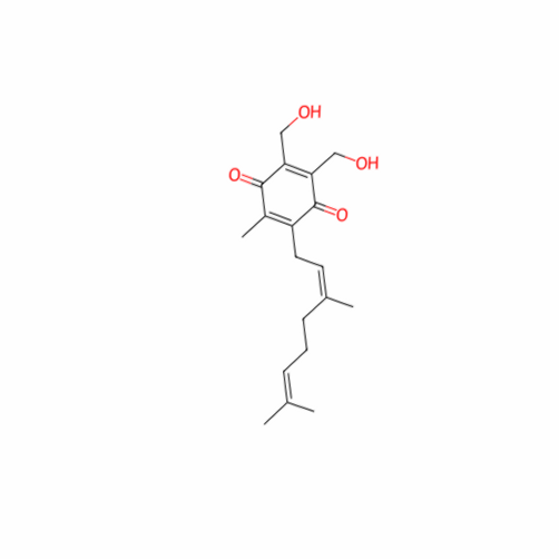 CC(C)=CCCC(C)=CCC1=C(C)C(=O)C(CO)=C(CO)C1=O